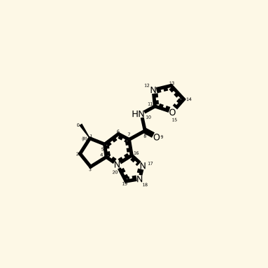 C[C@@H]1CCc2c1cc(C(=O)Nc1ncco1)c1nncn21